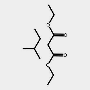 CCC(C)C.CCOC(=O)CC(=O)OCC